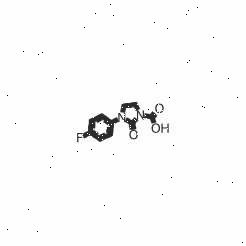 O=C(O)N1CCN(c2ccc(F)cc2)C1=O